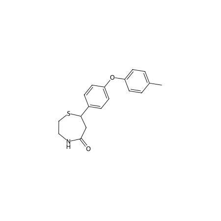 Cc1ccc(Oc2ccc(C3CC(=O)NCCS3)cc2)cc1